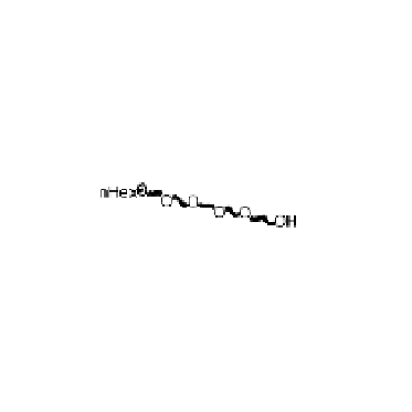 CCCCCCOCCOCCOCCOCCOCCCO